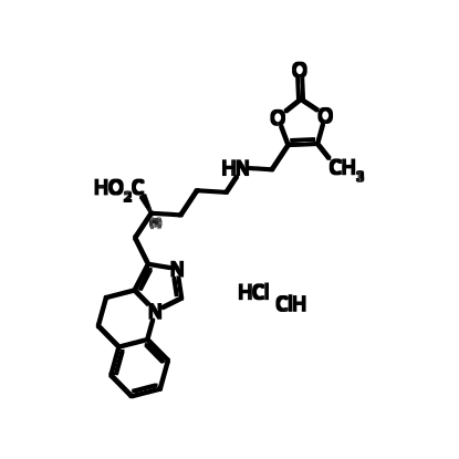 Cc1oc(=O)oc1CNCCC[C@@H](Cc1ncn2c1CCc1ccccc1-2)C(=O)O.Cl.Cl